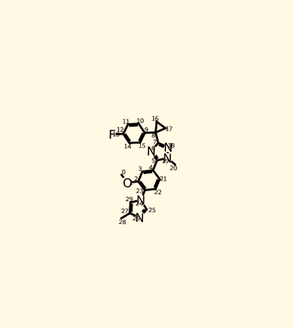 COc1cc(-c2nc(C3(c4ccc(F)cc4)CC3)nn2C)ccc1-n1cnc(C)c1